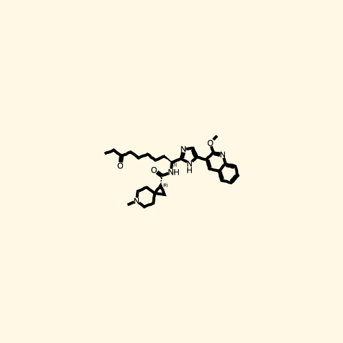 CCC(=O)CCCCC[C@H](NC(=O)[C@@H]1CC12CCN(C)CC2)c1ncc(-c2cc3ccccc3nc2OC)[nH]1